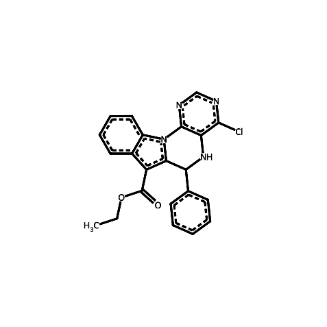 CCOC(=O)c1c2n(c3ccccc13)-c1ncnc(Cl)c1NC2c1ccccc1